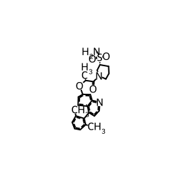 Cc1cccc(C)c1-c1ccnc2cc(O[C@H](C)C(=O)N3CCC[C@@H](S(N)(=O)=O)C3)ccc12